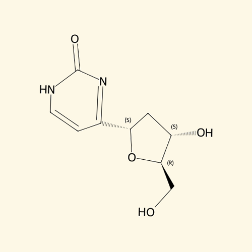 O=c1nc([C@@H]2C[C@H](O)[C@@H](CO)O2)cc[nH]1